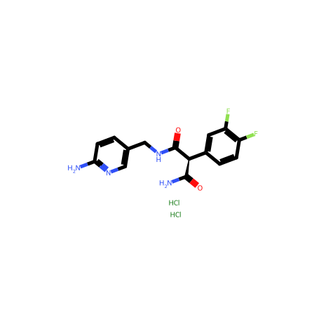 Cl.Cl.NC(=O)[C@@H](C(=O)NCc1ccc(N)nc1)c1ccc(F)c(F)c1